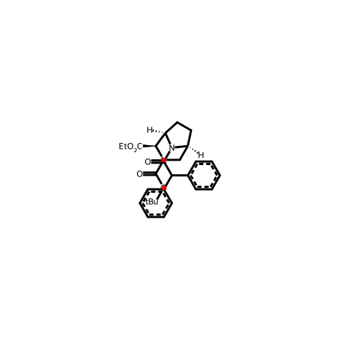 CCOC(=O)[C@H]1[C@H]2CC[C@@H](CN1C(=O)OC(C)(C)C)N2C(=O)C(c1ccccc1)c1ccccc1